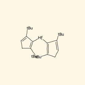 CC(C)(C)C1=CCC(C(C)(C)C)=[C]1[Hf][C]1=C(C(C)(C)C)CC=C1C(C)(C)C